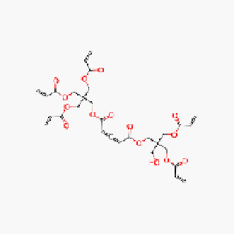 C=CC(=O)OCC(CO)(COC(=O)C=C)COC(=O)C=C=CC(=O)OCC(COC(=O)C=C)(COC(=O)C=C)COC(=O)C=C